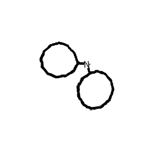 C1CCCCCC([N]C2CCCCCCCCCCC2)CCCCC1